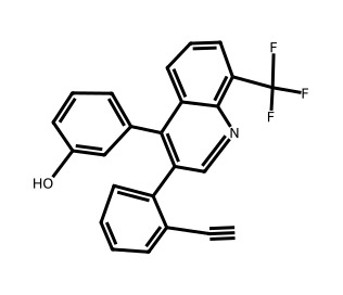 C#Cc1ccccc1-c1cnc2c(C(F)(F)F)cccc2c1-c1cccc(O)c1